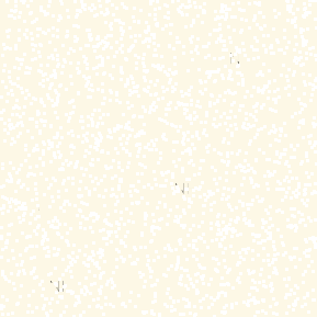 CNC(=O)CCNCCC1=CCC=N1